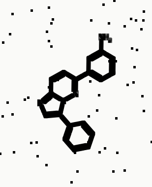 Nc1cccc(-c2ccc3ncc(-c4c[c]ccc4)n3n2)c1